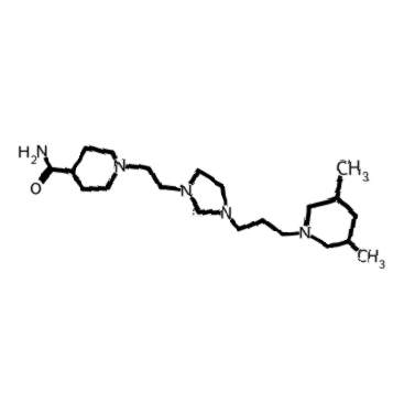 CC1CC(C)CN(CCCN2[C]N(CCN3CCC(C(N)=O)CC3)CC2)C1